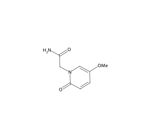 COc1ccc(=O)n(CC(N)=O)c1